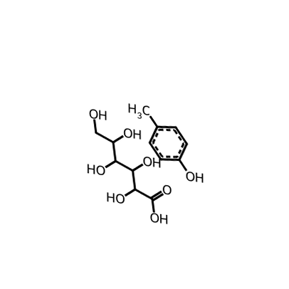 Cc1ccc(O)cc1.O=C(O)C(O)C(O)C(O)C(O)CO